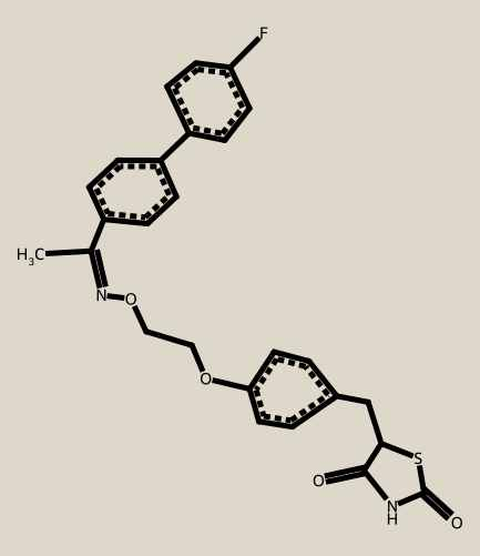 CC(=NOCCOc1ccc(CC2SC(=O)NC2=O)cc1)c1ccc(-c2ccc(F)cc2)cc1